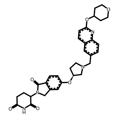 O=C1CCC(N2Cc3cc(O[C@H]4CCN(Cc5ccc6nc(OC7CCOCC7)ccc6c5)C4)ccc3C2=O)C(=O)N1